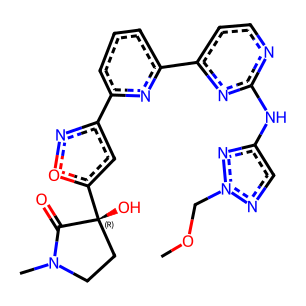 COCn1ncc(Nc2nccc(-c3cccc(-c4cc([C@]5(O)CCN(C)C5=O)on4)n3)n2)n1